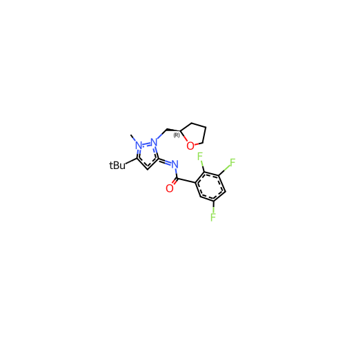 Cn1c(C(C)(C)C)cc(=NC(=O)c2cc(F)cc(F)c2F)n1C[C@H]1CCCO1